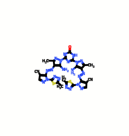 [C-]#[N+]c1cnn(-c2nnc(C)s2)c1N=Nc1c(C)nn(-c2nc(-n3nc(C)c(N=Nc4c(C#N)cnn4-c4nnc(C)s4)c3N)[nH]c(=O)n2)c1N